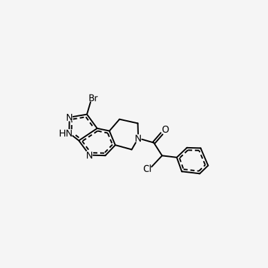 O=C(C(Cl)c1ccccc1)N1CCc2c(cnc3[nH]nc(Br)c23)C1